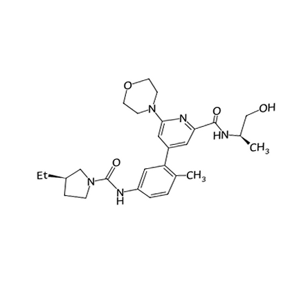 CC[C@@H]1CCN(C(=O)Nc2ccc(C)c(-c3cc(C(=O)N[C@H](C)CO)nc(N4CCOCC4)c3)c2)C1